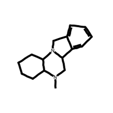 CN1CC2c3ccccc3CN2C2CCCCC21